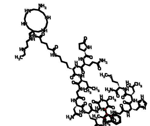 CCNCCNCC1(NC(=O)CCCC(=O)NCCCC[C@H](NC(=O)[C@H](CCC(N)=O)NC(=O)[C@@H]2CCC(=O)N2)C(=O)N[C@@H](CC(C)C)C(=O)NCC(=O)N[C@@H](CC(N)=O)C(=O)N[C@@H](CCC(N)=O)C(=O)N[C@@H](Cc2c[nH]c3ccccc23)C(=O)N[C@@H](C)C(=O)N[C@H](C(=O)NCC(=O)N[C@@H](Cc2c[nH]cn2)C(=O)N[C@@H](CC(C)C)C(=O)N[C@@H](CCSC)C(N)=O)C(C)C)CNCCNCC(N)CNCCNC1